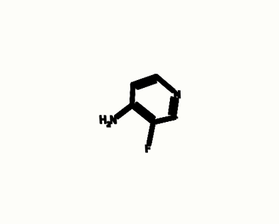 Nc1ccn[c]c1F